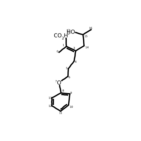 CC(C(=O)O)=C(CCCOc1ccccc1)CC(C)O